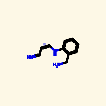 N=C/C=C\Nc1ccccc1CN